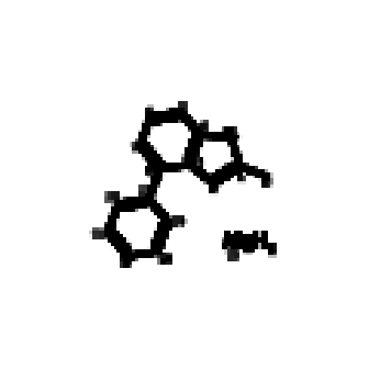 CC1=Cc2c(cccc2-c2ccccc2)[CH]1.[MgH2]